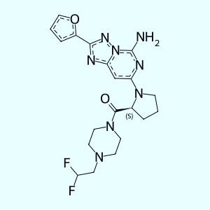 Nc1nc(N2CCC[C@H]2C(=O)N2CCN(CC(F)F)CC2)cc2nc(-c3ccco3)nn12